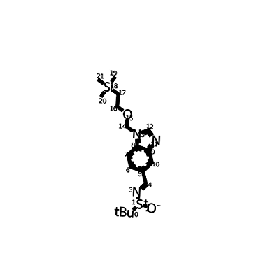 CC(C)(C)[S+]([O-])N=Cc1ccc2c(c1)ncn2COCC[Si](C)(C)C